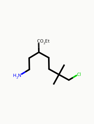 CCOC(=O)C(CCN)CCC(C)(C)CCl